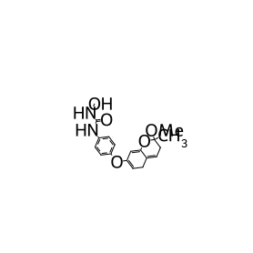 COC1(C)CC=C2CC=C(Oc3ccc(NC(=O)NO)cc3)C=C2O1